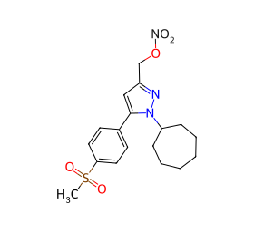 CS(=O)(=O)c1ccc(-c2cc(CO[N+](=O)[O-])nn2C2CCCCCC2)cc1